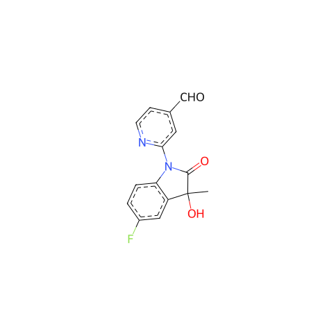 CC1(O)C(=O)N(c2cc(C=O)ccn2)c2ccc(F)cc21